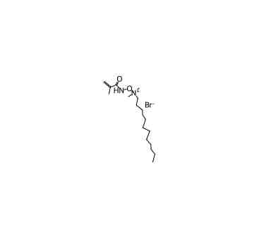 C=C(C)C(=O)NO[N+](C)(C)CCCCCCCCCCCC.[Br-]